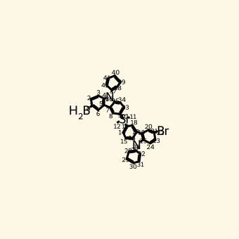 Bc1ccc2c(c1)c1cc([Si](C)(C)c3ccc4c(c3)c3cc(Br)ccc3n4-c3ccccc3)ccc1n2-c1ccccc1